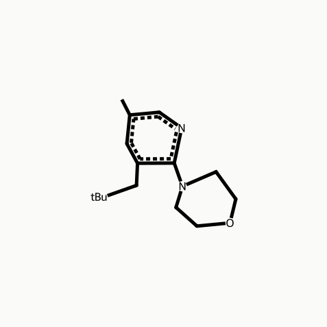 Cc1cnc(N2CCOCC2)c(CC(C)(C)C)c1